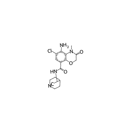 CN1C(=O)COc2c(C(=O)NC3CN4CCC3CC4)cc(Cl)c(N)c21